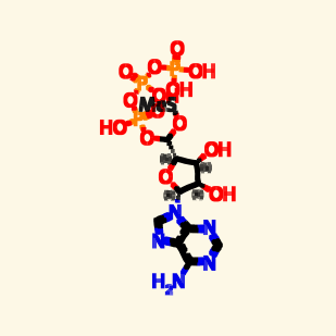 CSOC(OP(=O)(O)OP(=O)(O)OP(=O)(O)O)[C@H]1O[C@@H](n2cnc3c(N)ncnc32)[C@H](O)[C@@H]1O